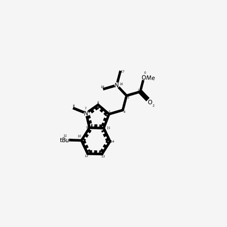 COC(=O)C(Cc1cn(C)c2c(C(C)(C)C)cccc12)N(C)C